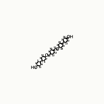 Oc1ccc(-c2ccc(OCc3ccc(COc4ccc(-c5ccc(O)cc5)cc4)cc3)cc2)cc1